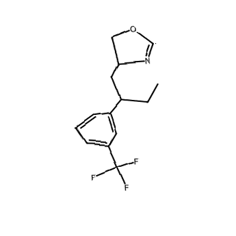 CCC(CC1CO[C]=N1)c1cccc(C(F)(F)F)c1